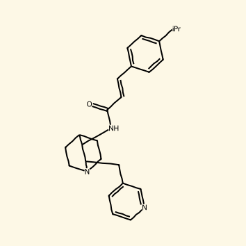 CC(C)c1ccc(/C=C/C(=O)NC2C3CCN(CC3)C2Cc2cccnc2)cc1